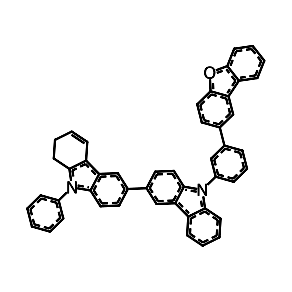 C1=Cc2c(n(-c3ccccc3)c3ccc(-c4ccc5c(c4)c4ccccc4n5-c4cccc(-c5ccc6oc7ccccc7c6c5)c4)cc23)CC1